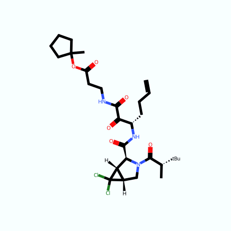 C=CCC[C@H](NC(=O)[C@@H]1[C@@H]2[C@H](CN1C(=O)[C@@H](C)C(C)(C)C)C2(Cl)Cl)C(=O)C(=O)NCCC(=O)OC1(C)CCCC1